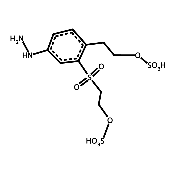 NNc1ccc(CCOS(=O)(=O)O)c(S(=O)(=O)CCOS(=O)(=O)O)c1